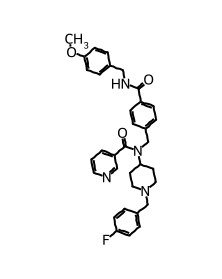 COc1ccc(CNC(=O)c2ccc(CN(C(=O)c3cccnc3)C3CCN(Cc4ccc(F)cc4)CC3)cc2)cc1